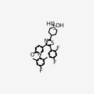 Cc1cc(F)cc(C)c1-n1cc(-c2nc(C3CCS(O)(O)CC3)sc2-c2ccc(F)cc2F)ccc1=O